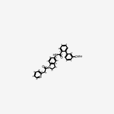 COc1cccc(-c2ccccc2C(=O)Nc2ccc3c(c2)CCN3C(=O)Cc2ccccn2)c1